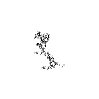 CC[C@H](C)[C@H](NC(=O)CC[C@H](NC(=O)CN1CCN(C(=O)CN2CCN(CC(=O)O)CCN(CC(=O)O)CC2)CC1)C(=O)O)C(=O)N[C@H]1CCc2cccc3c2N(C1=O)[C@H](C(=O)NC1CC(=O)OC1O)C3